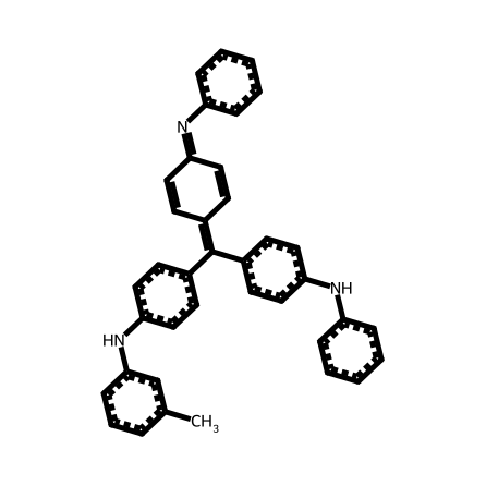 Cc1cccc(Nc2ccc(C(=C3C=CC(=Nc4ccccc4)C=C3)c3ccc(Nc4ccccc4)cc3)cc2)c1